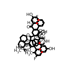 Cc1c(F)cccc1C1=C(C(=O)c2cccc(O)c2)CC(C(=O)C2([C@@H]3CCCC[C@H]3NS(C)(=O)=O)CC(C(=O)c3cccc(O)c3)=C(c3cccc(F)c3C)C(O)=C2C2CCCNC2)([C@@H]2CCCC[C@H]2NS(C)(=O)=O)C(C2CCCNC2)=C1O